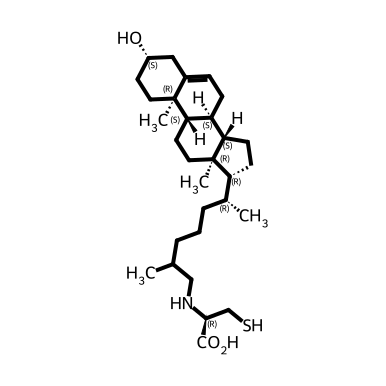 CC(CCC[C@@H](C)[C@H]1CC[C@H]2[C@@H]3CC=C4C[C@@H](O)CC[C@]4(C)[C@H]3CC[C@]12C)CN[C@@H](CS)C(=O)O